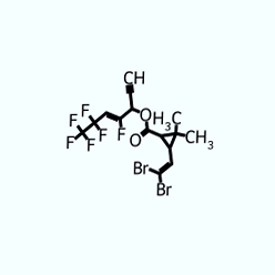 C#CC(OC(=O)C1C(C=C(Br)Br)C1(C)C)C(F)=CC(F)(F)C(F)(F)F